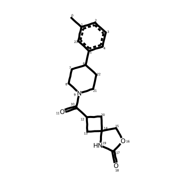 Cc1cccc(C2CCN(C(=O)C3CC4(COC(=O)N4)C3)CC2)c1